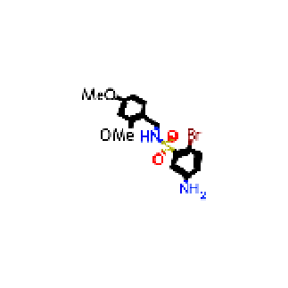 COc1ccc(CNS(=O)(=O)c2cc(N)ccc2Br)c(OC)c1